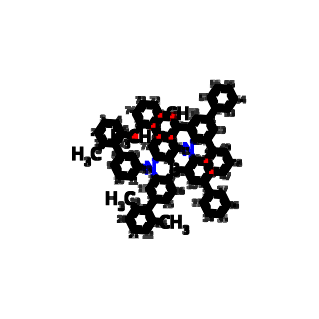 Cc1cccc(C)c1-c1cccc(N2c3cc(-c4c(C)cccc4C)ccc3B3c4cc(-c5ccccc5)ccc4N(c4c(-c5ccccc5)cc(-c5ccccc5)cc4-c4ccccc4)c4cc(-c5c(C)cccc5C)cc2c43)c1